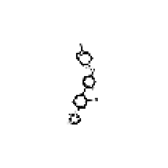 CC1CC2C[C@H](Oc3ccc(-c4ccc(-n5ccnn5)cc4O)nn3)CC1N2